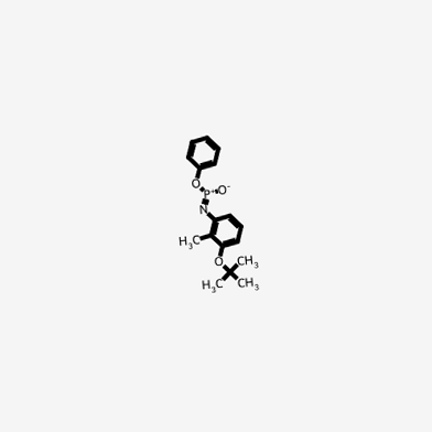 Cc1c(/N=[P+](\[O-])Oc2ccccc2)cccc1OC(C)(C)C